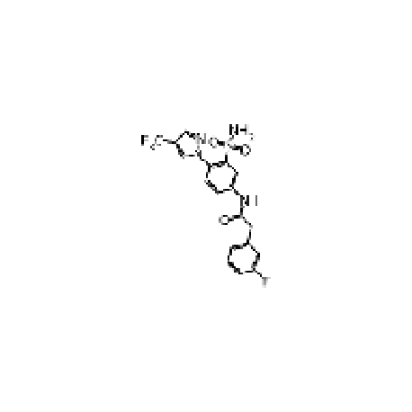 NS(=O)(=O)c1cc(NC(=O)Cc2cccc(F)c2)ccc1-n1cc(C(F)(F)F)cn1